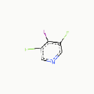 Fc1cncc(F)c1I